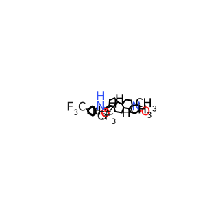 CN1C(=O)CC[C@@]2(C)C1CC[C@@H]1[C@H]2CC[C@]2(C)C(C(=O)Nc3cc(C(F)(F)F)ccc3C(F)(F)F)CC[C@@H]12